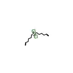 C=CCCCC[Si](Cl)(Cl)CCCCC=C